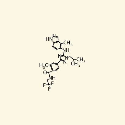 Cc1cc(-c2nc(Nc3ccc4[nH]ncc4c3C)n(CC(C)C)n2)ccc1C(=O)NCC(F)(F)F